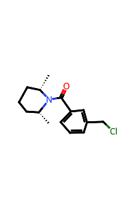 C[C@@H]1CCC[C@H](C)N1C(=O)c1cccc(CCl)c1